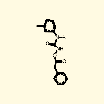 Cc1cccc(N(Br)C(=O)NOC(=O)Cc2ccccc2)c1